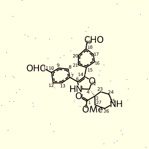 COC(=O)C1([C@@H]2NC(c3ccc(C=O)cc3)=C(c3ccc(C=O)cc3)O2)CCNCC1